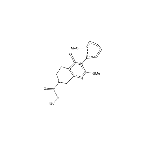 COc1ccccc1-n1c(SC)nc2c(c1=O)CCN(C(=O)OC(C)(C)C)C2